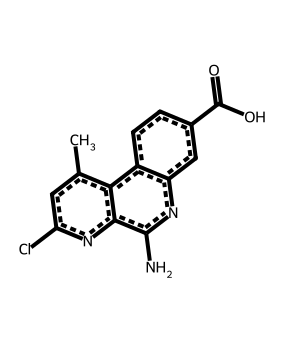 Cc1cc(Cl)nc2c(N)nc3cc(C(=O)O)ccc3c12